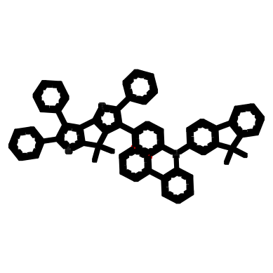 CC1(C)c2ccccc2-c2ccc(N(c3ccc(-c4c(-c5ccccc5)oc5c4C(C)(C)c4oc(-c6ccccc6)c(-c6ccccc6)c4-5)cc3)c3ccccc3-c3ccccc3)cc21